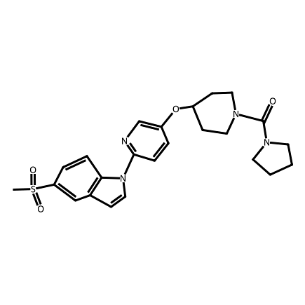 CS(=O)(=O)c1ccc2c(ccn2-c2ccc(OC3CCN(C(=O)N4CCCC4)CC3)cn2)c1